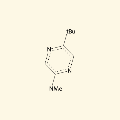 CNc1cnc(C(C)(C)C)cn1